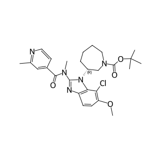 COc1ccc2nc(N(C)C(=O)c3ccnc(C)c3)n([C@@H]3CCCCN(C(=O)OC(C)(C)C)C3)c2c1Cl